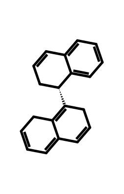 C1=CCC2=C([C@@H]3CC=Cc4ccccc43)CC=CC2=C1